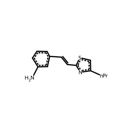 CCCc1csc(/C=C/c2cccc(N)c2)n1